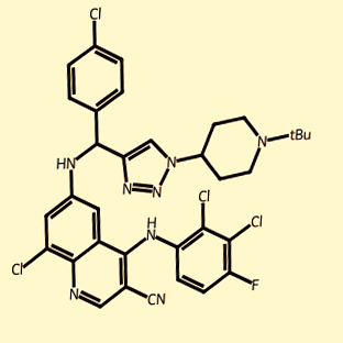 CC(C)(C)N1CCC(n2cc(C(Nc3cc(Cl)c4ncc(C#N)c(Nc5ccc(F)c(Cl)c5Cl)c4c3)c3ccc(Cl)cc3)nn2)CC1